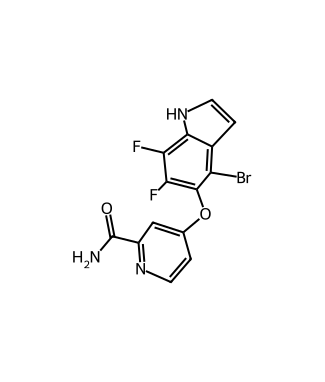 NC(=O)c1cc(Oc2c(F)c(F)c3[nH]ccc3c2Br)ccn1